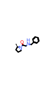 C[C@@H]1CCCN1C(=O)CNCc1ccccc1